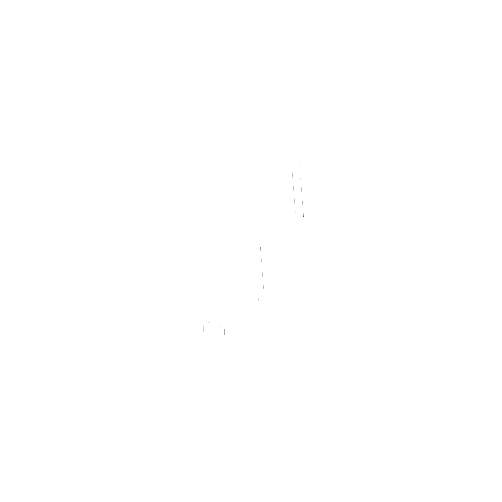 C=CC[O][Ga]